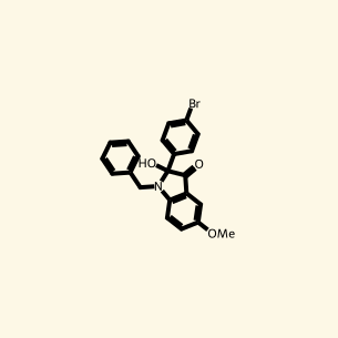 COc1ccc2c(c1)C(=O)C(O)(c1ccc(Br)cc1)N2Cc1ccccc1